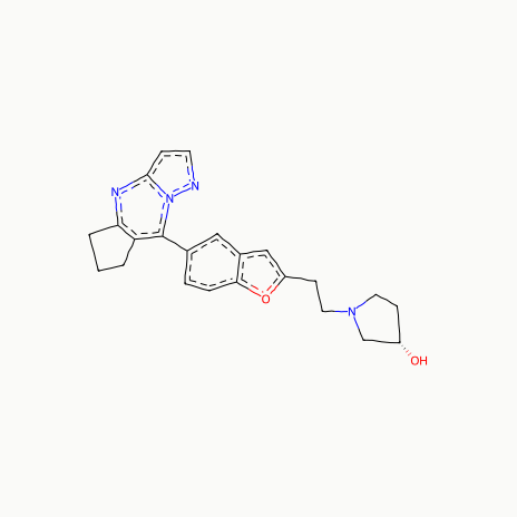 O[C@H]1CCN(CCc2cc3cc(-c4c5c(nc6ccnn46)CCC5)ccc3o2)C1